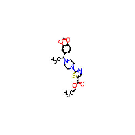 CCOC(=O)c1cnc(N2CCN(C(C)c3ccc4c(c3)OCO4)CC2)s1